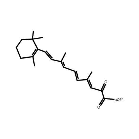 CCCCCCCCCCC(=O)C(=O)/C=C(C)/C=C/C=C(C)/C=C/C1=C(C)CCCC1(C)C